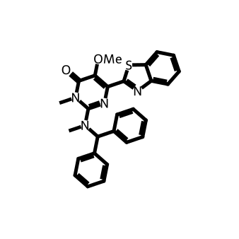 COc1c(-c2nc3ccccc3s2)nc(N(C)C(c2ccccc2)c2ccccc2)n(C)c1=O